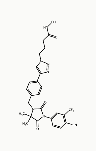 CC1(C)C(=O)N(c2ccc(C#N)c(C(F)(F)F)c2)C(=O)N1Cc1ccc(-c2cn(CCCC(=O)NO)nn2)cc1